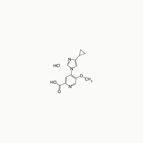 COc1cnc(C(=O)O)cc1-n1cnc(C2CC2)c1.Cl